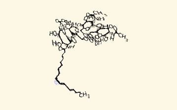 CCCCCC/C=C\CCCCCCCC(=O)N[C@H]1C(O)[C@H](O)C(COC(C)=O)O[C@H]1O[C@@H]1C(CO)O[C@@H](O[C@@H]2C(CO)O[C@@H](O[C@@H]3C(COS(=O)(=O)O)O[C@@H](O)[C@@H](NC(C)=O)C3O)[C@@H](NC(C)=O)C2O)[C@@H](NC(C)=O)C1O